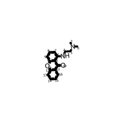 CN(C)CCNc1cccc2oc3ccccc3c(=O)c12